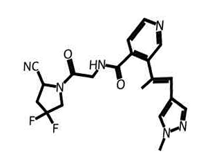 CC(=Cc1cnn(C)c1)c1cnccc1C(=O)NCC(=O)N1CC(F)(F)CC1C#N